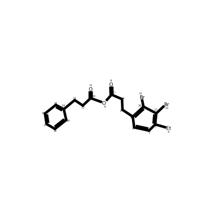 CCc1ccc(CCC(=O)OC(=O)CCc2ccccc2)c(Br)c1Br